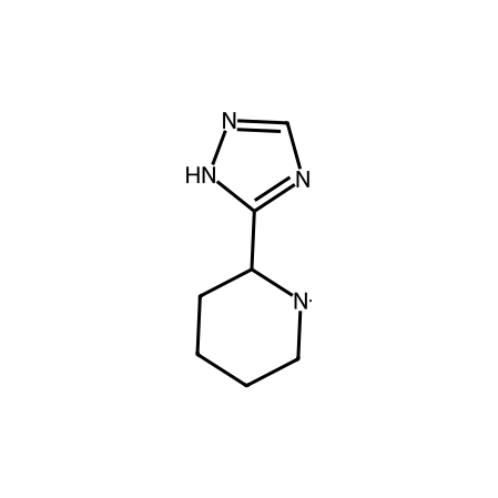 c1n[nH]c(C2CCCC[N]2)n1